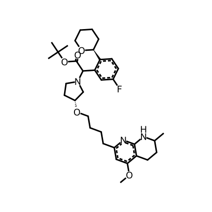 COc1cc(CCCCO[C@@H]2CCN(C(C(=O)OC(C)(C)C)c3cc(F)ccc3[C@@H]3CCCCO3)C2)nc2c1CCC(C)N2